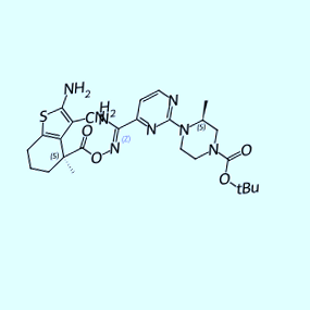 C[C@H]1CN(C(=O)OC(C)(C)C)CCN1c1nccc(/C(N)=N/OC(=O)[C@@]2(C)CCCc3sc(N)c(C#N)c32)n1